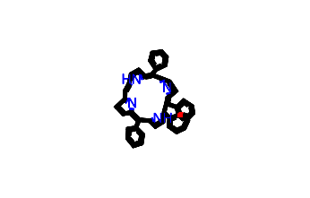 C1=CC2=C(c3ccccc3)C3C=CC(c4ccccc4)(N3)C(c3ccccc3)=C3C=CC(=N3)C(c3ccccc3)=c3ccc([nH]3)=CC1=N2